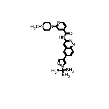 BC(B)(B)n1cc(-c2ccc3nnc(NC(=O)c4ccnc(N5CCN(C)CC5)c4)cc3c2)cn1